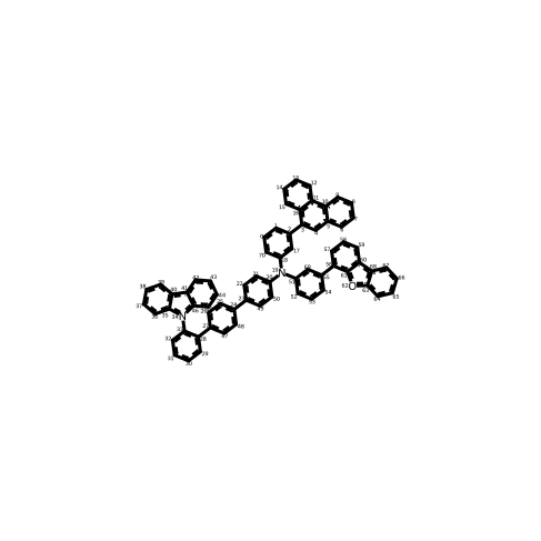 c1cc(-c2cc3ccccc3c3ccccc23)cc(N(c2ccc(-c3ccc(-c4ccccc4-n4c5ccccc5c5ccccc54)cc3)cc2)c2cccc(-c3cccc4c3oc3ccccc34)c2)c1